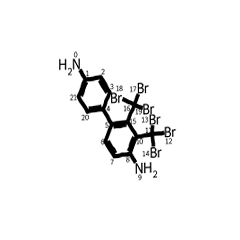 Nc1ccc(-c2ccc(N)c(C(Br)(Br)Br)c2C(Br)(Br)Br)cc1